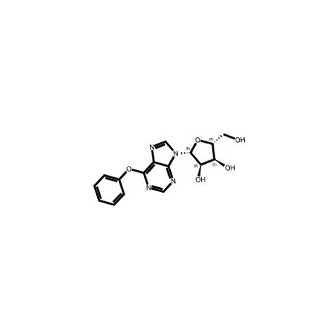 OC[C@H]1O[C@@H](n2cnc3c(Oc4ccccc4)ncnc32)[C@H](O)[C@@H]1O